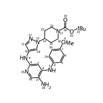 COc1ccc(Nc2cc(Nc3cnn(C4CCN(C(=O)OC(C)(C)C)CC4)c3)ncc2N)cc1